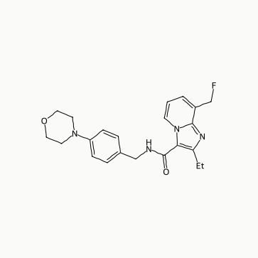 CCc1nc2c(CF)cccn2c1C(=O)NCc1ccc(N2CCOCC2)cc1